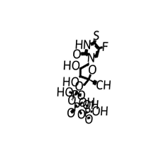 C#C[C@]1(COP(=O)(O)OP(=O)(O)OP(=O)(O)O)O[C@@H](n2cc(F)c(=S)[nH]c2=O)[C@@H](O)C1O